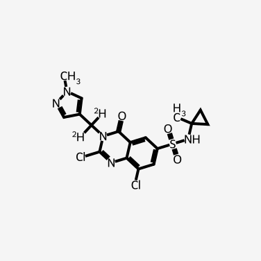 [2H]C([2H])(c1cnn(C)c1)n1c(Cl)nc2c(Cl)cc(S(=O)(=O)NC3(C)CC3)cc2c1=O